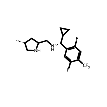 C[C@H]1CNC(CN[C@@H](c2cc(F)c(C(F)(F)F)cc2F)C2CC2)C1